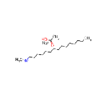 CC(=O)O.CCCCCCCCCCCCCCC[N-]C.[Na+]